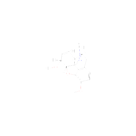 [2H]OC1([2H])C=C[C@@]2([2H])[C@H]3Cc4ccc(OC)c5c4[C@@]2(CCN3C)C1([2H])O5